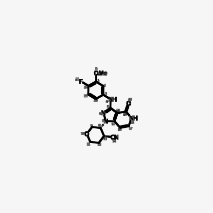 COc1cc(Nc2nn([C@H]3COCC[C@@H]3C#N)c3cc[nH]c(=O)c23)ccc1F